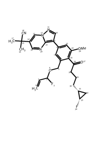 C=CC(F)OCc1cc(-c2cnn3cc(C(C)(C)C#N)cnc23)cc(OC)c1C(=O)CCC[C@@H]1C[C@@H]1F